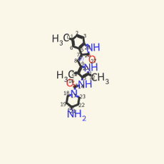 Cc1ccc2c(c1)/C(=C/c1[nH]c(C)c(NC(=O)N3CCC(N)CC3)c1C)C(=O)N2